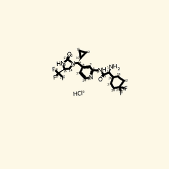 Cl.N[C@H](C(=O)Nc1cc([C@@H](C2CC2)N2C[C@@H](C(F)(F)F)NC2=O)ccn1)C1CCC(F)(F)CC1